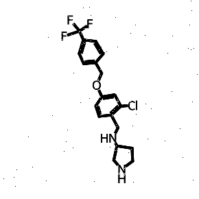 FC(F)(F)c1ccc(COc2ccc(CNC3CCNC3)c(Cl)c2)cc1